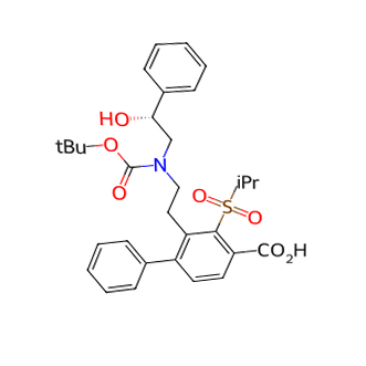 CC(C)S(=O)(=O)c1c(C(=O)O)ccc(-c2ccccc2)c1CCN(C[C@H](O)c1ccccc1)C(=O)OC(C)(C)C